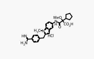 COC(C(=O)O)(C(=O)Nc1ccc2c(c1)cc(Cc1ccc(C(=N)N)cc1)n2C)C1CCCC1.Cl